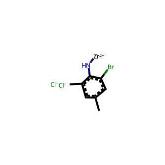 Cc1cc(C)c([NH][Zr+2])c(Br)c1.[Cl-].[Cl-]